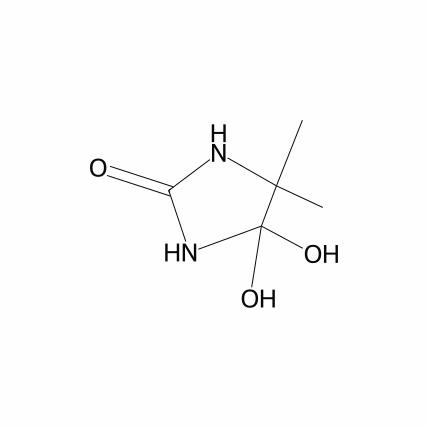 CC1(C)NC(=O)NC1(O)O